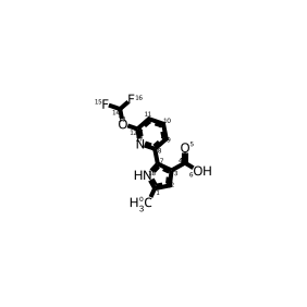 Cc1cc(C(=O)O)c(-c2cccc(OC(F)F)n2)[nH]1